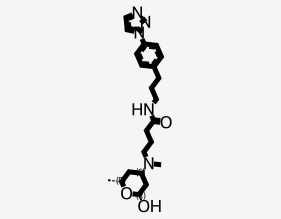 C[C@@H]1C[C@H](N(C)CCCC(=O)NCCCc2ccc(-n3ccnn3)cc2)C[C@H](O)O1